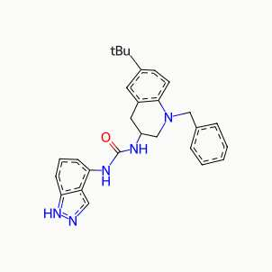 CC(C)(C)c1ccc2c(c1)CC(NC(=O)Nc1cccc3[nH]ncc13)CN2Cc1ccccc1